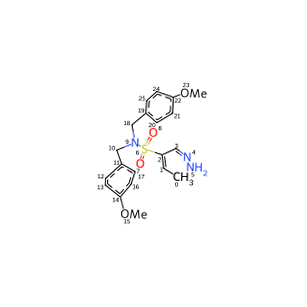 C/C=C(\C=N/N)S(=O)(=O)N(Cc1ccc(OC)cc1)Cc1ccc(OC)cc1